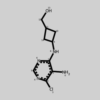 Nc1c(Cl)ncnc1NC1CC(CO)C1